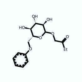 CCC(=O)COC1O[C@H](COc2ccccc2)[C@@H](O)[C@H](O)[C@H]1O